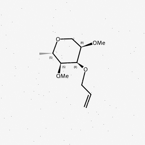 C=CCO[C@H]1[C@@H](OC)[C@H](C)O[C][C@H]1OC